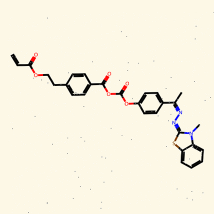 C=CC(=O)OCCc1ccc(C(=O)OC(=O)Oc2ccc(C(C)=NN=c3sc4ccccc4n3C)cc2)cc1